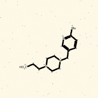 CC(C)(C)c1ccc(CN2CCN(CCC(=O)O)CC2)cn1